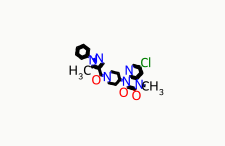 Cc1c(C(=O)N2CCC(n3c(=O)c(=O)n(C)c4cc(Cl)cnc43)CC2)cnn1-c1ccccc1